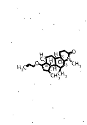 C=CCOC1CC(C)[C@H]2[C@@H]3C(C)CC4N(C)C(=O)CC[C@]4(C)[C@@H]3CC[C@]12C